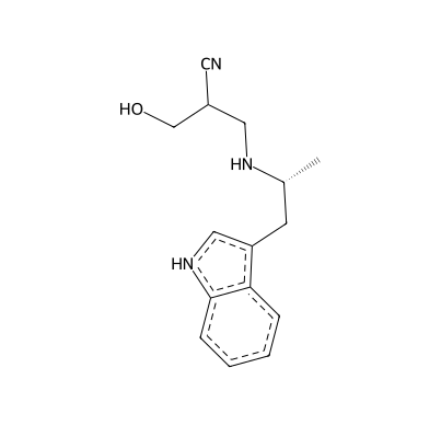 C[C@H](Cc1c[nH]c2ccccc12)NCC(C#N)CO